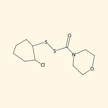 O=C(SSC1CCCCC1Cl)N1CCOCC1